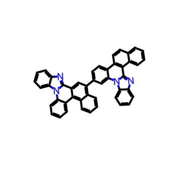 c1ccc2c(c1)ccc1c3ccc(-c4cc5c(c6ccccc46)c4ccccc4n4c6ccccc6nc54)cc3n3c4ccccc4nc3c21